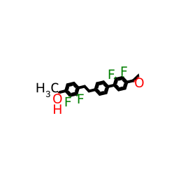 CC(O)c1ccc(CCc2ccc(-c3ccc(C4CO4)c(F)c3F)cc2)c(F)c1F